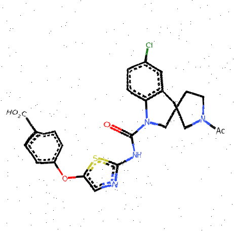 CC(=O)N1CCC2(C1)CN(C(=O)Nc1ncc(Oc3ccc(C(=O)O)cc3)s1)c1ccc(Cl)cc12